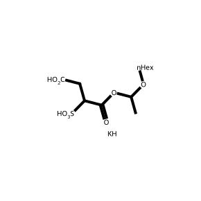 CCCCCCOC(C)OC(=O)C(CC(=O)O)S(=O)(=O)O.[KH]